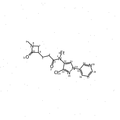 CCN(C(=O)CCC1CN(C)C1=O)c1cn(-c2cccnc2)nc1Cl